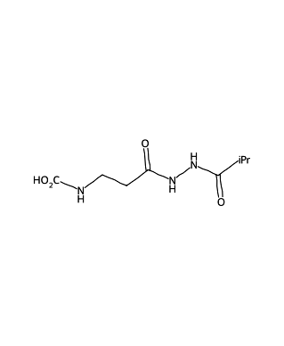 CC(C)C(=O)NNC(=O)CCNC(=O)O